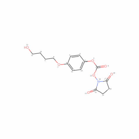 O=C(Oc1ccc(OCCCCO)cc1)ON1C(=O)CCC1=O